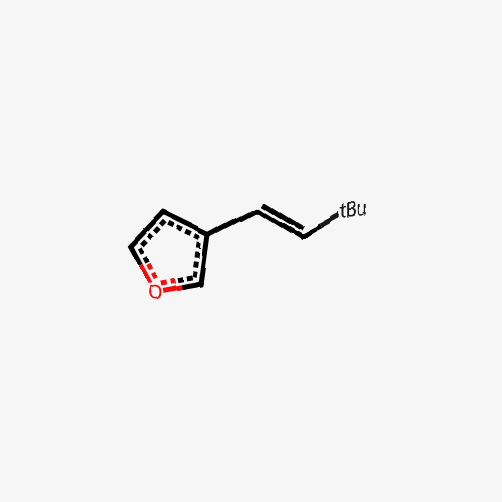 CC(C)(C)/C=C/c1ccoc1